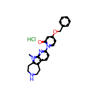 Cl.Cn1c2c(c3ccc(-n4ccc(OCc5ccccc5)cc4=O)nc31)CCNCC2